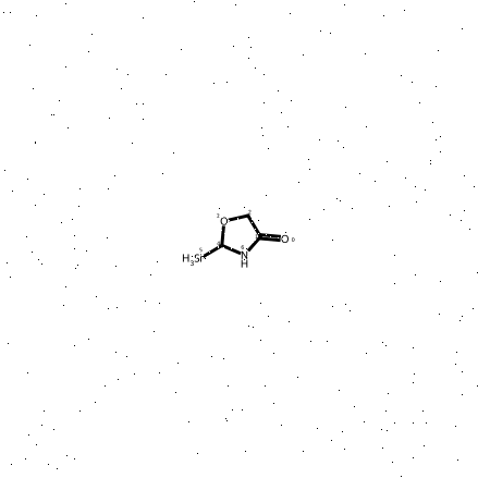 O=C1COC([SiH3])N1